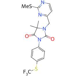 CSc1nccc(CN2C(=O)N(c3ccc(SC(F)(F)F)cc3)C(=O)C2(C)C)n1